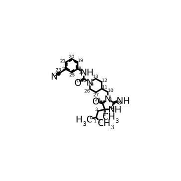 CC(C)CC1(C)NC(=N)N(CC2CCN(C(=O)Nc3cccc(C#N)c3)CC2)C1=O